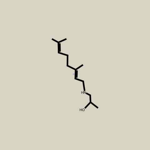 CC(C)=CCC/C(C)=C/CNCC(C)O